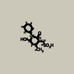 Cc1cc(O)n(-c2ccccc2)c(=O)c1CS(=O)(=O)O